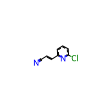 N#C/C=C/c1cccc(Cl)n1